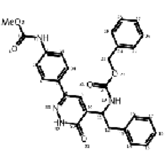 COC(=O)Nc1ccc(-c2cc(C(Cc3ccccc3)NC(=O)OCc3ccccc3)c(=O)[nH]n2)cc1